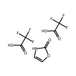 O=C(O)C(F)(F)F.O=C(O)C(F)(F)F.O=c1[nH]cco1